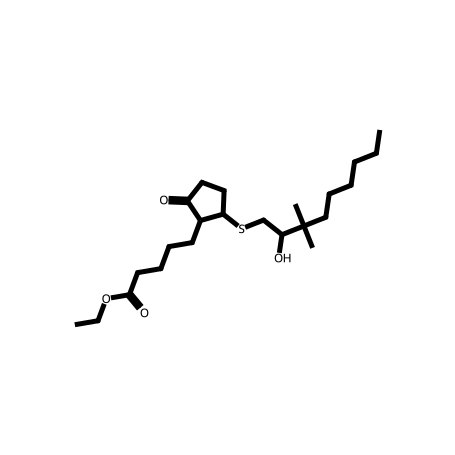 CCCCCCC(C)(C)C(O)CSC1CCC(=O)C1CCCCC(=O)OCC